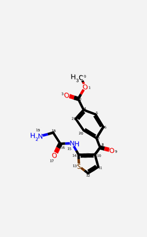 COC(=O)c1ccc(C(=O)c2ccsc2NC(=O)CN)cc1